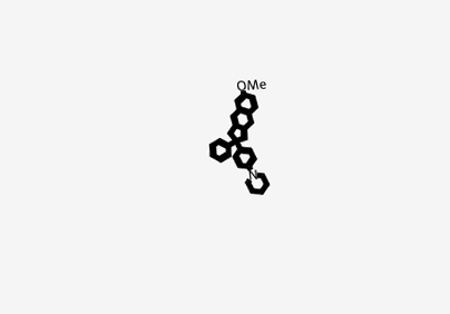 COc1ccc2c(c1)C=C1CC(c3ccccc3)(c3ccc(N4CCCCC4)cc3)C=C1C2